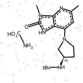 Cc1cc(N2CC[C@@H](NC(C)(C)C)C2)c2[nH]c(=O)n(C)c2n1.NC(=O)O